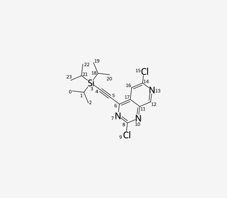 CC(C)[Si](C#Cc1nc(Cl)nc2cnc(Cl)cc12)(C(C)C)C(C)C